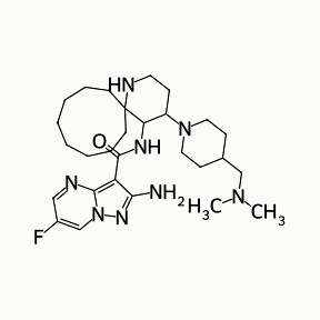 CN(C)CC1CCN(C2CCNC3(CCCCCCCC3)C2NC(=O)c2c(N)nn3cc(F)cnc23)CC1